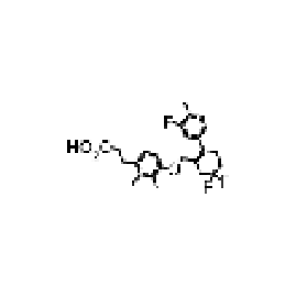 Cc1ccc(C2=C(COc3ccc(CCC(=O)O)c(C)c3C)CC(F)(F)CC2)cc1F